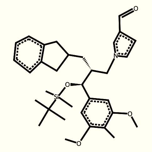 COc1cc([C@@H](O[Si](C)(C)C(C)(C)C)[C@H](CC2Cc3ccccc3C2)Cn2ccc(C=O)c2)cc(OC)c1C